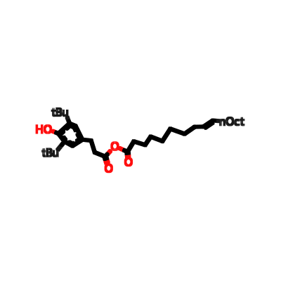 CCCCCCCCC=CCCCCCCCC(=O)OC(=O)CCc1cc(C(C)(C)C)c(O)c(C(C)(C)C)c1